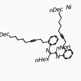 CCCCCCCCCCCCCCCC#CCCc1ccccc1/N=C(CCCCCC)\C(CCCCCCCCC)=N\c1ccccc1CCC#CCCCCCCCCCCCCCCC.[Ni]